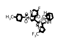 Cc1ccc(S(=O)(=O)n2cc(-c3nc(N[C@H]4C5CCC(CC5)[C@@H]4C(=O)O)c4ccc(C(F)(F)F)n4n3)c3cc(F)cnc32)cc1